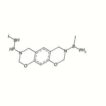 PB(I)N1COc2cc3c(cc2C1)CN(PBI)CO3